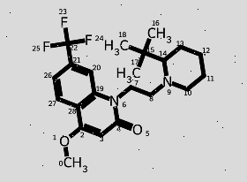 COc1cc(=O)n(CCN2CC[CH]CC2C(C)(C)C)c2cc(C(F)(F)F)ccc12